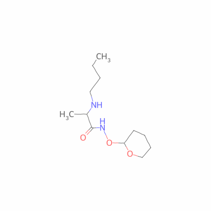 CCCCNC(C)C(=O)NOC1CCCCO1